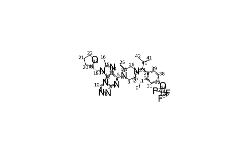 CC[C@@H]1CN(c2nc3nncn3c3c2nc(C)n3C[C@@H]2CCCO2)[C@@H](C)CN1C(c1ccc(OC(F)(F)F)cc1)C(C)C